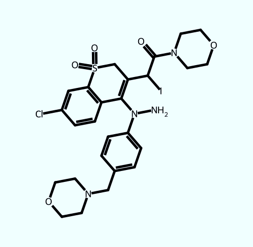 NN(C1=C(C(I)C(=O)N2CCOCC2)CS(=O)(=O)c2cc(Cl)ccc21)c1ccc(CN2CCOCC2)cc1